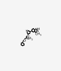 Cc1n[nH]c2ccc(-c3cncc(OC[C@@H](N)COCc4ccccc4)c3)cc12